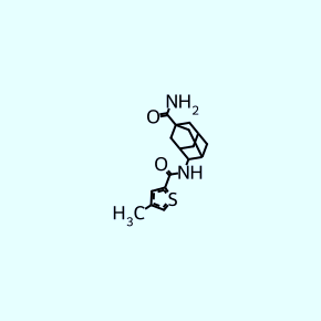 Cc1csc(C(=O)NC2C3CC4CC2CC(C(N)=O)(C4)C3)c1